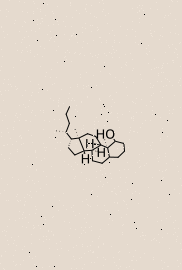 CCC[C@@H](C)[C@H]1CC[C@H]2[C@@H]3CCC4CCCC(O)[C@]4(C)[C@H]3CC[C@]12C